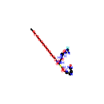 CCCCOCCOCCOCCOCCOCCOCCOCCOCCOCCOCCOCCOCCNC(=O)C(CSSCCOC(=O)OCc1ccc(-c2ccnc3ccc(-c4cnc(OC)c(N)c4)cc23)cn1)NC(=O)CCC(=O)NCc1cc(C(=O)NC(C)C(=O)N2CC(F)(F)C[C@H]2C#N)ccn1